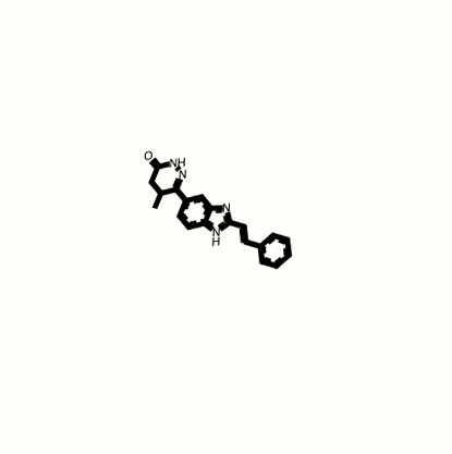 CC1CC(=O)NN=C1c1ccc2[nH]c(C=Cc3ccccc3)nc2c1